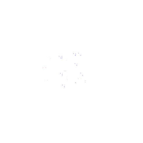 C[C@H]1CC[C@]2(CC(n3cnnc3)N(Cc3c(F)cc(F)cc3F)O2)[C@H]2CN1C(=O)c1c(O)c(=O)c(C(N)=O)cn12